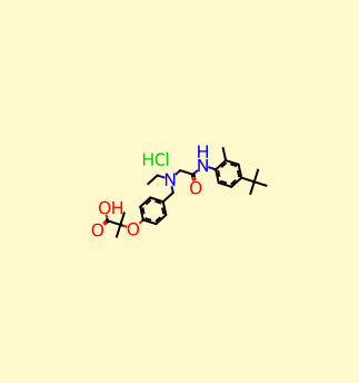 CCN(CC(=O)Nc1ccc(C(C)(C)C)cc1C)Cc1ccc(OC(C)(C)C(=O)O)cc1.Cl